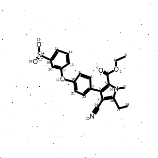 CCOC(=O)c1c(-c2ccc(Oc3cccc([N+](=O)[O-])c3)cc2)c(C#N)c(CC)n1C